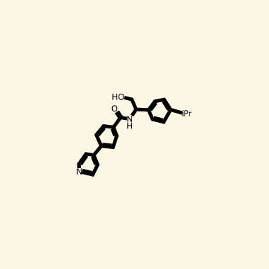 CC(C)c1ccc(C(CO)NC(=O)c2ccc(-c3ccncc3)cc2)cc1